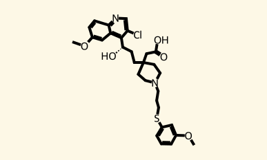 COc1cccc(SCCCN2CCC(CC[C@H](O)c3c(Cl)cnc4ccc(OC)cc34)(CC(=O)O)CC2)c1